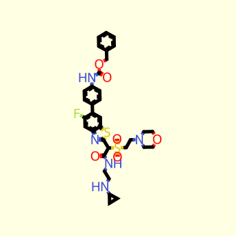 O=C(Nc1ccc(-c2cc3sc(C(C(=O)NCCNC4CC4)S(=O)(=O)CCN4CCOCC4)nc3cc2F)cc1)OCc1ccccc1